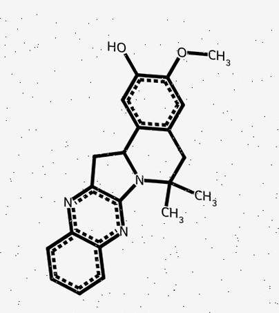 COc1cc2c(cc1O)C1Cc3nc4ccccc4nc3N1C(C)(C)C2